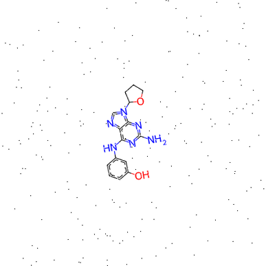 Nc1nc(Nc2cccc(O)c2)c2ncn(C3CCCO3)c2n1